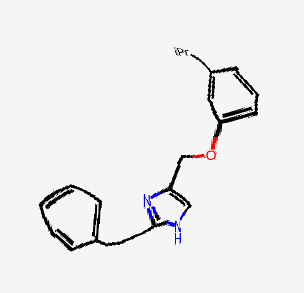 CC(C)c1cccc(OCc2c[nH]c(Cc3ccccc3)n2)c1